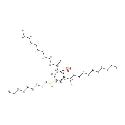 CCCCCCCCCCC(C)c1cc(SCCCCCCCCC)cc(C(C)CCCCCCCCCC)c1O